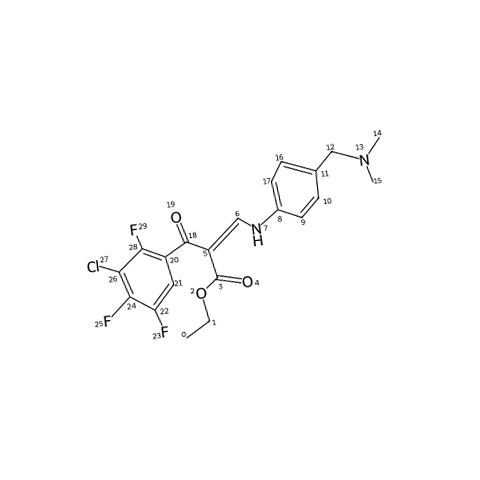 CCOC(=O)C(=CNc1ccc(CN(C)C)cc1)C(=O)c1cc(F)c(F)c(Cl)c1F